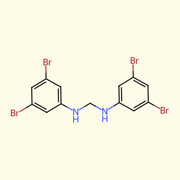 Brc1cc(Br)cc(NCNc2cc(Br)cc(Br)c2)c1